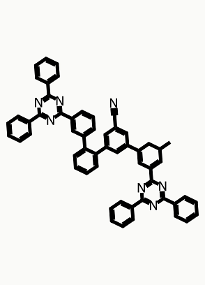 CC1C=C(c2nc(-c3ccccc3)nc(-c3ccccc3)n2)C=C(c2cc(C#N)cc(-c3ccccc3-c3cccc(-c4nc(-c5ccccc5)nc(-c5ccccc5)n4)c3)c2)C1